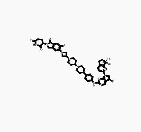 CC[C@@]1(O)CCc2ccc(-n3cc(F)c4cnc(Nc5ccc(C6CCN(C7CCN(C8CN(c9cc%10c(cc9F)C(=O)N(C9CCC(=O)NC9=O)C%10)C8)CC7)CC6)cc5)nc43)nc21